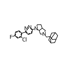 Fc1ccc(-c2ccc(N3CCC4CN(CC56CC7CC(CC(C7)C5)C6)CC43)nn2)c(Cl)c1